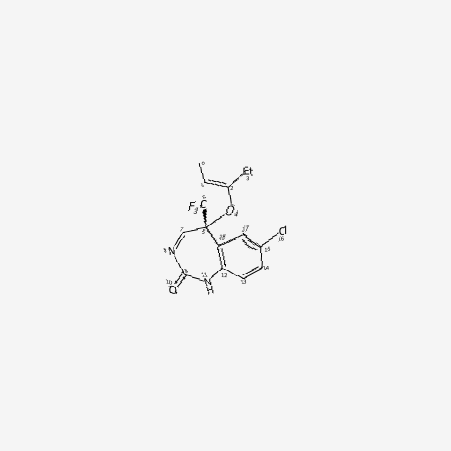 CC=C(CC)O[C@@]1(C(F)(F)F)C=NC(=O)Nc2ccc(Cl)cc21